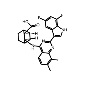 Cc1ccc2c(N[C@@H]3C4CCC(CC4)[C@H]3C(=O)O)nc(-c3c[nH]c4c(F)cc(F)cc34)nc2c1C